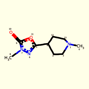 CN1CCC(c2nn(C)c(=O)o2)CC1